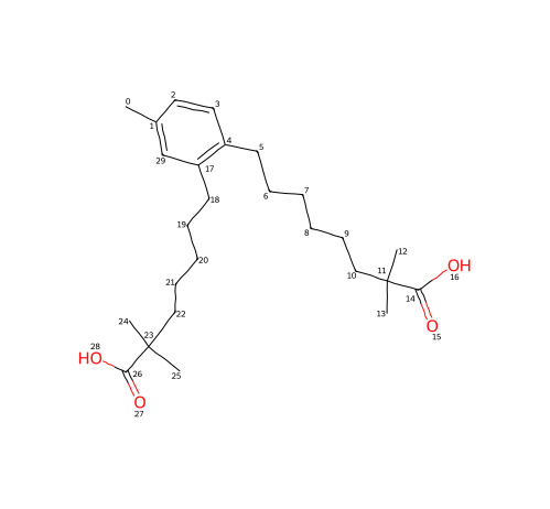 Cc1ccc(CCCCCCC(C)(C)C(=O)O)c(CCCCCC(C)(C)C(=O)O)c1